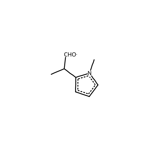 CC([C]=O)c1cccn1C